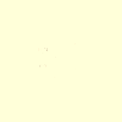 CCCC1(N)CCCCC1C